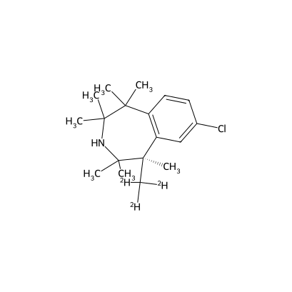 [2H]C([2H])([2H])[C@]1(C)c2cc(Cl)ccc2C(C)(C)C(C)(C)NC1(C)C